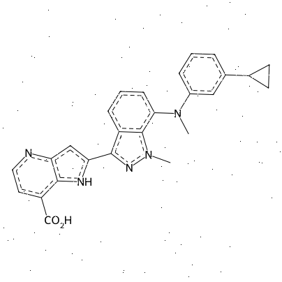 CN(c1cccc(C2CC2)c1)c1cccc2c(-c3cc4nccc(C(=O)O)c4[nH]3)nn(C)c12